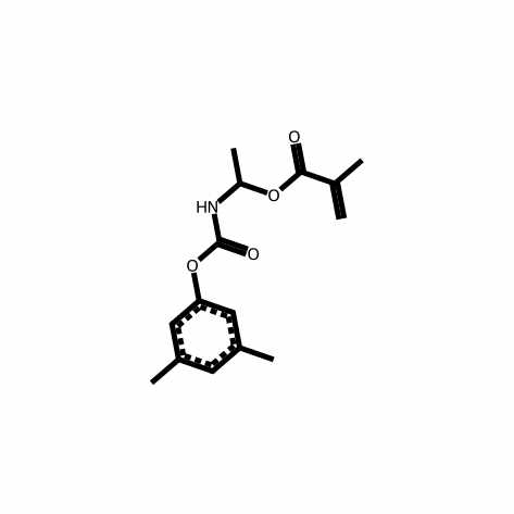 C=C(C)C(=O)OC(C)NC(=O)Oc1cc(C)cc(C)c1